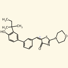 CCC(C)(C)c1cc(-c2cccc(/C=C3/SC(N4CCOCC4)=NC3=O)c2)ccc1O